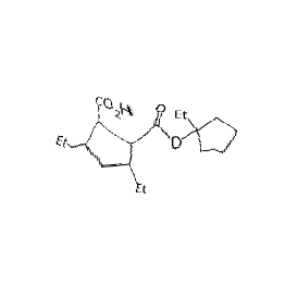 CCC1CC(CC)C(C(=O)OC2(CC)CCCC2)C1C(=O)O